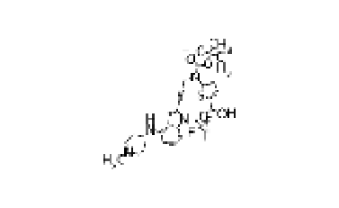 CN1CCC(Nc2cccc3c2cc(C#CCN(C(=O)OC(C)(C)C)c2ccc(C(=O)O)s2)n3CC(F)(F)F)CC1